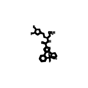 CC(F)(F)c1ccccc1-c1cc(C(=O)N[C@@H](CCN2C[C@@H](F)[C@@H](F)C2)CC(=O)O)nn1C1CCCC1